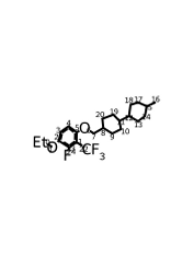 CCOc1ccc(OCC2CCC(C3CCC(C)CC3)CC2)c(C(F)(F)F)c1F